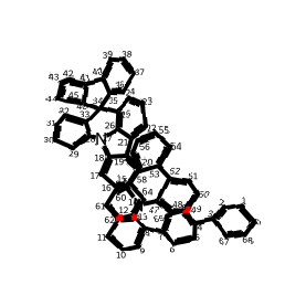 c1ccc(-c2ccc(-c3ccccc3N(c3ccc4c(c3)c3cccc5c3n4-c3ccccc3C53c4ccccc4-c4ccccc43)c3ccccc3-c3ccccc3-c3ccccc3)cc2)cc1